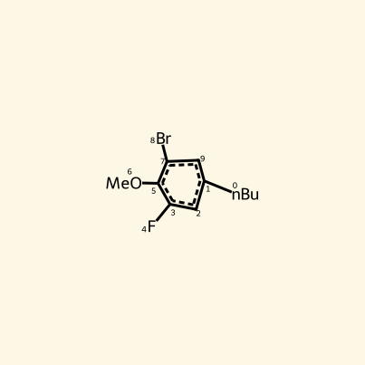 CCCCc1cc(F)c(OC)c(Br)c1